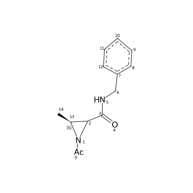 CC(=O)N1C(C(=O)NCc2ccccc2)[C@@H]1C